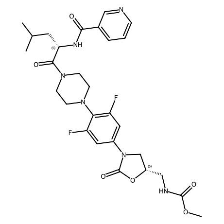 COC(=O)NC[C@H]1CN(c2cc(F)c(N3CCN(C(=O)[C@H](CC(C)C)NC(=O)c4cccnc4)CC3)c(F)c2)C(=O)O1